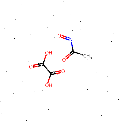 CC(=O)N=O.O=C(O)C(=O)O